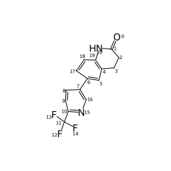 O=C1CCc2cc(-c3ccc(C(F)(F)F)nc3)ccc2N1